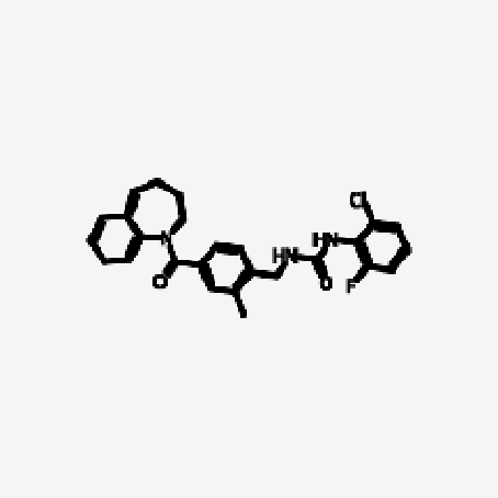 Cc1cc(C(=O)N2CCCC=C3C=CCC=C32)ccc1CNC(=O)Nc1c(F)cccc1Cl